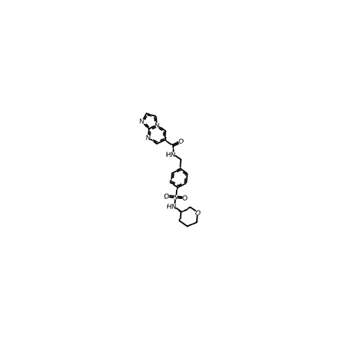 O=C(NCc1ccc(S(=O)(=O)NC2CCCOC2)cc1)c1cnc2nccn2c1